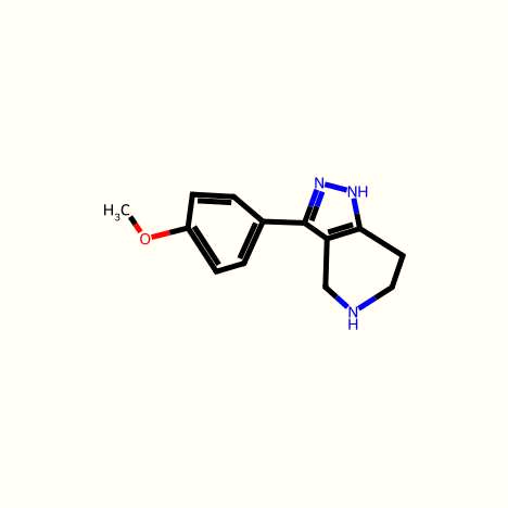 COc1ccc(-c2n[nH]c3c2CNCC3)cc1